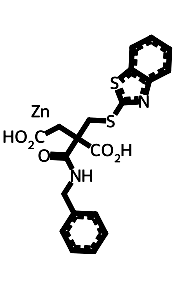 O=C(O)CC(CSc1nc2ccccc2s1)(C(=O)O)C(=O)NCc1ccccc1.[Zn]